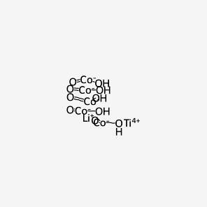 [Li+].[O]=[Co-][OH].[O]=[Co-][OH].[O]=[Co-][OH].[O]=[Co-][OH].[O]=[Co-][OH].[Ti+4]